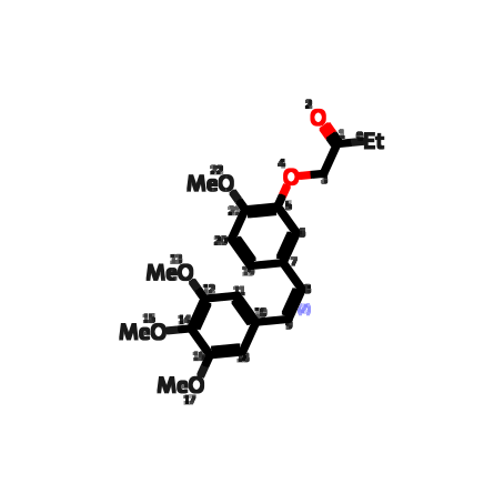 CCC(=O)COc1cc(/C=C\c2cc(OC)c(OC)c(OC)c2)ccc1OC